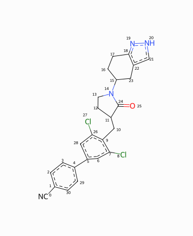 N#Cc1ccc(-c2cc(Cl)c(CC3CCN(C4CCc5n[nH]cc5C4)C3=O)c(Cl)c2)cc1